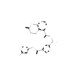 C[C@@H](NC(=O)c1ncnc2c1CCC(=O)N2)c1ncc(C(=O)Nc2cc(C(C)(C)C)no2)s1